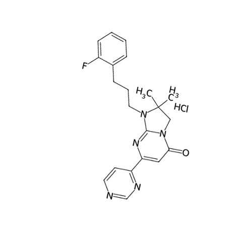 CC1(C)Cn2c(nc(-c3ccncn3)cc2=O)N1CCCc1ccccc1F.Cl